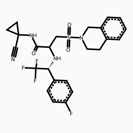 N#CC1(NC(=O)C(CS(=O)(=O)N2CCc3ccccc3C2)N[C@H](c2ccc(F)cc2)C(F)(F)F)CC1